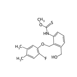 COC(=S)Nc1cccc(CO)c1COc1cc(C)c(C)cc1F